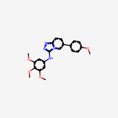 COc1ccc(-c2ccc3nnc(Nc4cc(OC)c(OC)c(OC)c4)n3c2)cc1